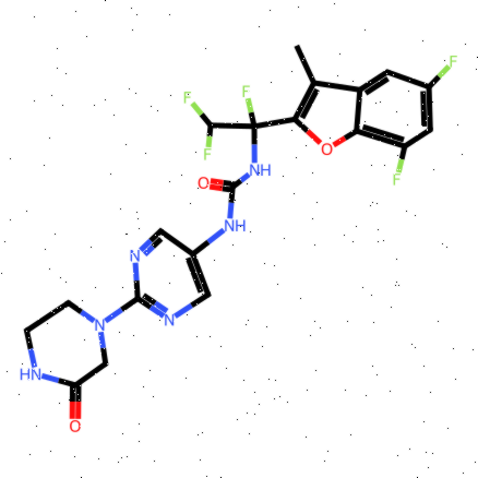 Cc1c(C(F)(NC(=O)Nc2cnc(N3CCNC(=O)C3)nc2)C(F)F)oc2c(F)cc(F)cc12